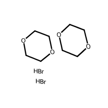 Br.Br.C1COCCO1.C1COCCO1